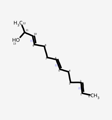 C/C=C/CC/C=C/CC/C=C/C(C)O